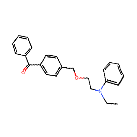 CCN(CCOCc1ccc(C(=O)c2ccccc2)cc1)c1ccccc1